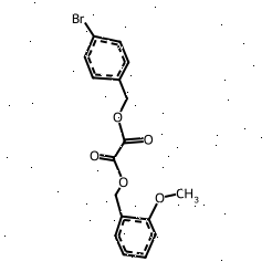 COc1ccccc1COC(=O)C(=O)OCc1ccc(Br)cc1